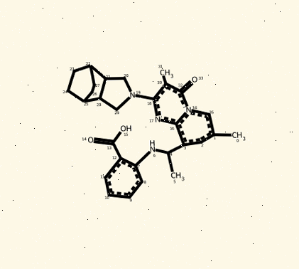 Cc1cc(C(C)Nc2ccccc2C(=O)O)c2nc(N3CC4C5CCC(CC5)C4C3)c(C)c(=O)n2c1